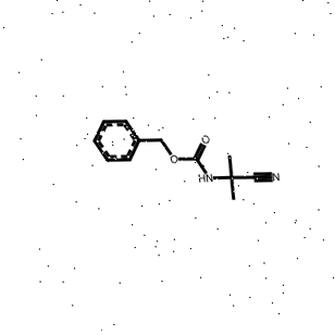 CC(C)(C#N)NC(=O)OCc1ccccc1